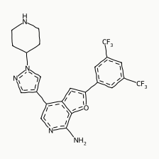 Nc1ncc(-c2cnn(C3CCNCC3)c2)c2cc(-c3cc(C(F)(F)F)cc(C(F)(F)F)c3)oc12